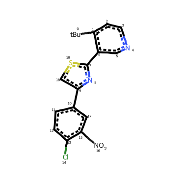 CC(C)(C)c1ccncc1-c1nc(-c2ccc(Cl)c([N+](=O)[O-])c2)cs1